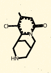 Cc1cc(=O)n2c(c1Cl)C1CNCC(C1)C2